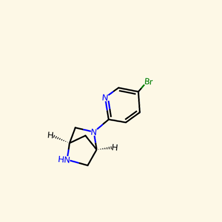 Brc1ccc(N2C[C@H]3C[C@@H]2CN3)nc1